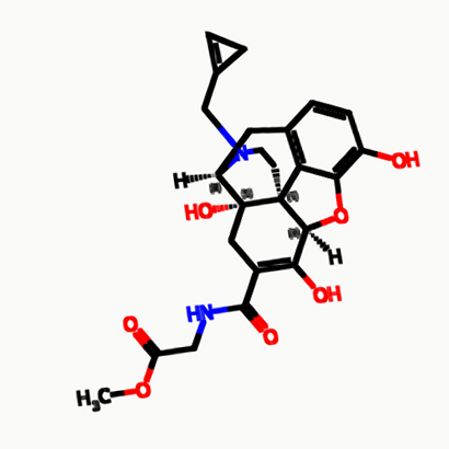 COC(=O)CNC(=O)C1=C(O)[C@@H]2Oc3c(O)ccc4c3[C@@]23CCN(CC2=CC2)[C@H](C4)[C@]3(O)C1